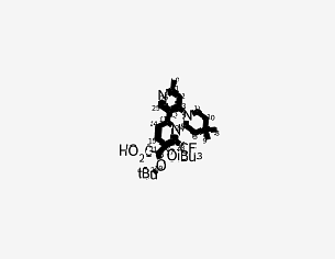 Cc1cc(N2CCC(C)(C)CC2)c(C2C=CC(OCC(C)C)([C@H](OC(C)(C)C)C(=O)O)C(C(F)(F)F)=N2)cn1